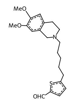 COc1cc2c(cc1OC)CN(CCCCCc1ccc(C=O)s1)CC2